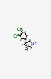 CN1C[C@@H]2C[C@]2(c2ccc(Cl)c(Cl)c2)C1